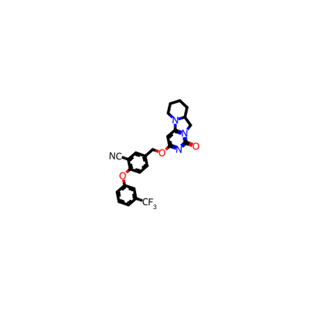 N#Cc1cc(COc2cc3n(c(=O)n2)CC2CCCCN32)ccc1Oc1cccc(C(F)(F)F)c1